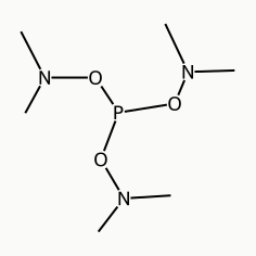 CN(C)OP(ON(C)C)ON(C)C